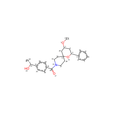 CCOC1CC(c2ccccc2)OC2(CCN(C(=O)c3ccc(C(O)C(C)C)cc3)CC2)C1